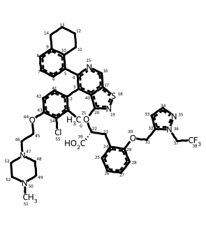 Cc1c(-c2c(-c3cccc4c3CCCC4)ncc3snc(O[C@H](Cc4ccccc4OCc4ccnn4CC(F)(F)F)C(=O)O)c23)ccc(OCCN2CCN(C)CC2)c1Cl